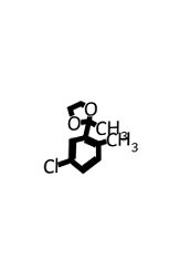 Cc1ccc(Cl)cc1C1(C)OCCO1